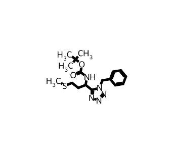 CSCCC(NC(=O)OC(C)(C)C)c1nnnn1Cc1ccccc1